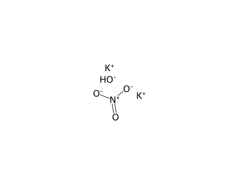 O=[N+]([O-])[O-].[K+].[K+].[OH-]